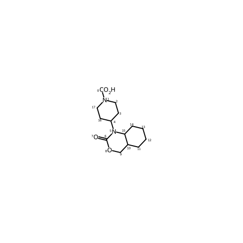 O=C(O)N1CCC(N2C(=O)OCC3CCCCC32)CC1